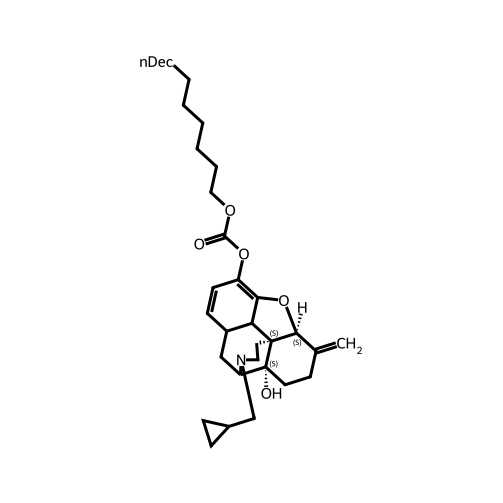 C=C1CC[C@@]2(O)C3CC4C=CC(OC(=O)OCCCCCCCCCCCCCCCC)=C5O[C@@H]1[C@]2(CCN3CC1CC1)C54